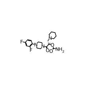 NC(=O)O[C@@H](CN1CCCCC1)C(=O)N1CCN(c2ccc(F)cc2F)CC1